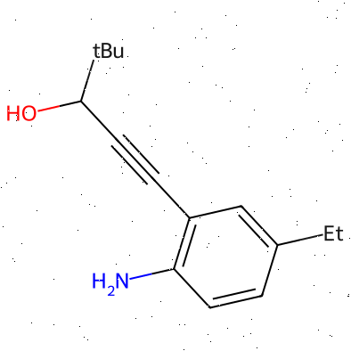 CCc1ccc(N)c(C#CC(O)C(C)(C)C)c1